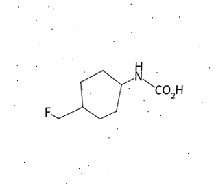 O=C(O)NC1CCC(CF)CC1